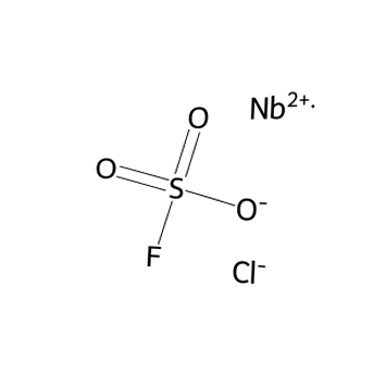 O=S(=O)([O-])F.[Cl-].[Nb+2]